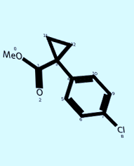 COC(=O)C1(c2ccc(Cl)cc2)CC1